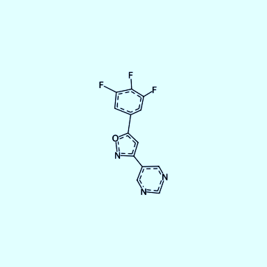 Fc1cc(-c2cc(-c3cncnc3)no2)cc(F)c1F